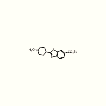 CCOC(=O)c1ccc2nc(C3CCN(C)CC3)sc2c1